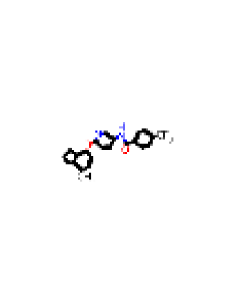 Cc1ccc(Oc2ccc(NC(=O)c3ccc(C(F)(F)F)cc3)cn2)c2c1CCC2